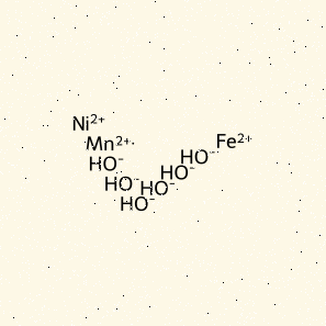 [Fe+2].[Mn+2].[Ni+2].[OH-].[OH-].[OH-].[OH-].[OH-].[OH-]